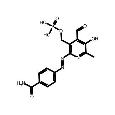 Cc1nc(N=Nc2ccc(C(N)=O)cc2)c(COP(=O)(O)O)c(C=O)c1O